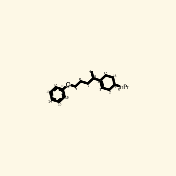 CCCC1CC=C(C(C)CCCOc2ccccc2)CC1